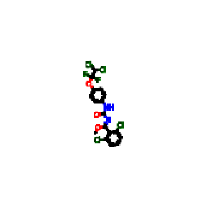 COC(=NC(=O)Nc1ccc(OC(F)(F)C(Cl)Cl)cc1)c1c(Cl)cccc1Cl